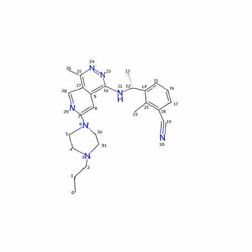 CCCN1CCN(c2cc3c(N[C@H](C)c4cccc(C#N)c4C)nnc(C)c3cn2)CC1